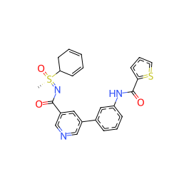 C[S@@](=O)(=NC(=O)c1cncc(-c2cccc(NC(=O)c3cccs3)c2)c1)C1C=CC=CC1